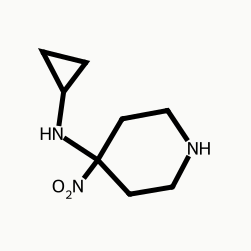 O=[N+]([O-])C1(NC2CC2)CCNCC1